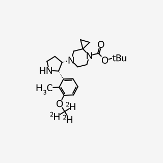 [2H]C([2H])([2H])Oc1cccc([C@@H]2NCC[C@@H]2N2CCN(C(=O)OC(C)(C)C)C3(CC3)C2)c1C